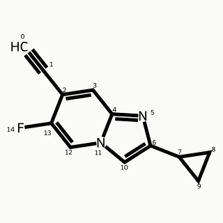 C#Cc1cc2nc(C3CC3)cn2cc1F